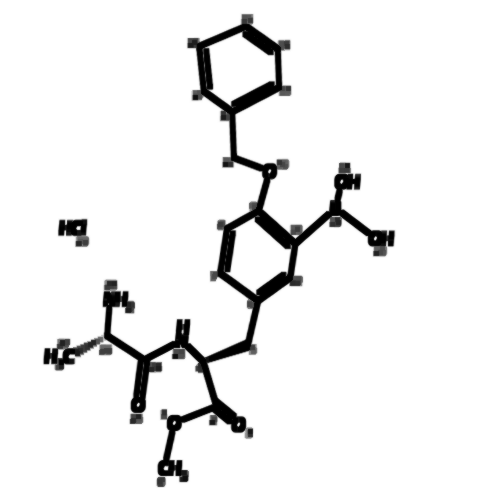 COC(=O)[C@H](Cc1ccc(OCc2ccccc2)c(B(O)O)c1)NC(=O)[C@H](C)N.Cl